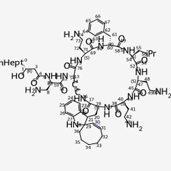 CCCCCCC[C@@H](O)CC(=O)N[C@H](CN)C(=O)N[C@H]1CCNC(=O)[C@H](CC2c3ccccc3NC23/C=C\CCCCC3)NC(=O)[C@H](CCN)NC(=O)[C@H](CCN)NC(=O)[C@H](CC(C)C)NC(=O)[C@@H](Cc2ccccc2)NC(=O)[C@H](CCN)NC1=O